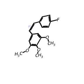 COc1cc(/C=C\c2ccc(F)cc2)cc(OC)c1OC